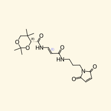 CC1(C)OCC(C)(C)[C@H](C(=O)N/C=C/C(=O)NCCCN2C(=O)C=CC2=O)O1